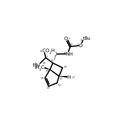 CC(C)(C)OC(=O)NC[C@]1(C(C(=O)O)C(C)(C)C)C[C@@H]2CC=C[C@@]21C